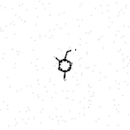 OCc1ncc(Br)cc1F